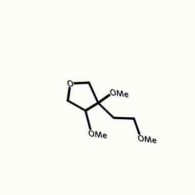 COCCC1(OC)COCC1OC